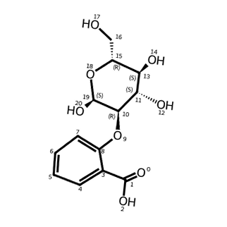 O=C(O)c1ccccc1O[C@@H]1[C@@H](O)[C@H](O)[C@@H](CO)O[C@@H]1O